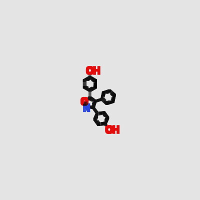 Oc1ccc(-c2noc(-c3ccc(O)cc3)c2-c2ccccc2)cc1